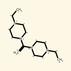 C=C(N1CCN(CC)CC1)N1CCN(CC)CC1